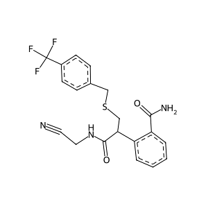 N#CCNC(=O)C(CSCc1ccc(C(F)(F)F)cc1)c1ccccc1C(N)=O